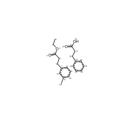 CCOC(=O)CCc1cccc(I)c1.O=C(O)CCc1ccccc1